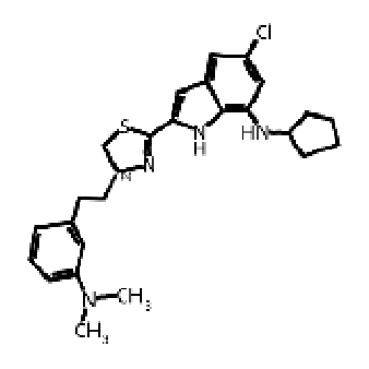 CN(C)c1cccc(CC[C@H]2CSC(c3cc4cc(Cl)cc(NC5CCCC5)c4[nH]3)=N2)c1